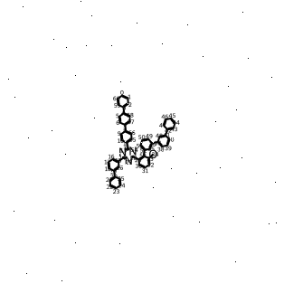 c1ccc(-c2ccc(-c3ccc(-c4nc(-c5cccc(-c6ccccc6)c5)nc(-c5cccc6oc7c(-c8cccc(-c9ccccc9)c8)cccc7c56)n4)cc3)cc2)cc1